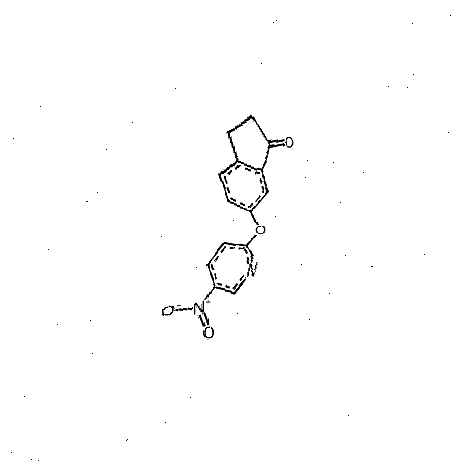 O=C1CCc2ccc(Oc3ccc([N+](=O)[O-])cn3)cc21